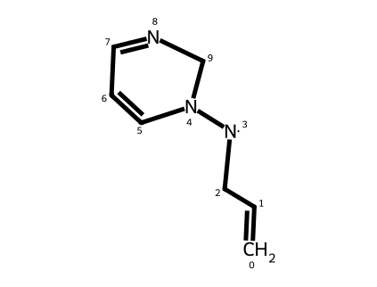 C=CC[N]N1C=CC=NC1